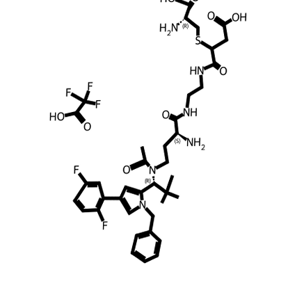 CC(=O)N(CC[C@H](N)C(=O)NCCNC(=O)C(CC(=O)O)SC[C@H](N)C(=O)O)[C@@H](c1cc(-c2cc(F)ccc2F)cn1Cc1ccccc1)C(C)(C)C.O=C(O)C(F)(F)F